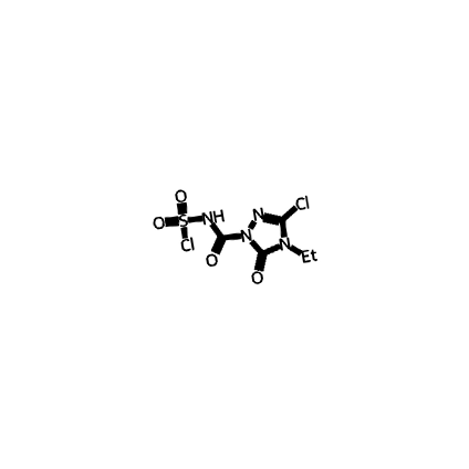 CCn1c(Cl)nn(C(=O)NS(=O)(=O)Cl)c1=O